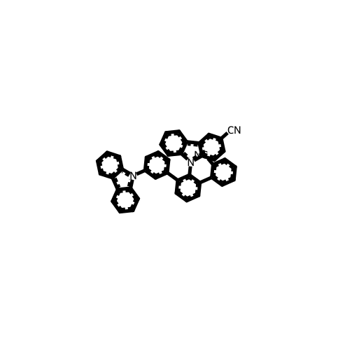 N#Cc1ccc2c(c1)c1ccccc1n2-c1c(-c2cccc(-n3c4ccccc4c4ccccc43)c2)cccc1-c1ccccc1C#N